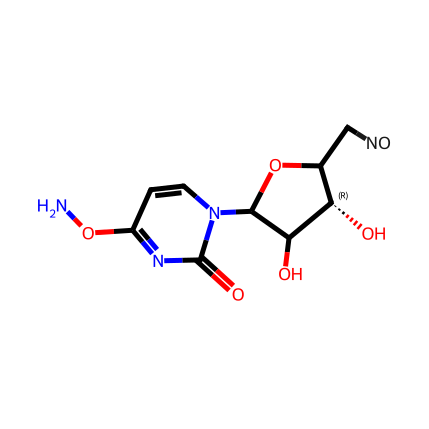 NOc1ccn(C2OC(CN=O)[C@H](O)C2O)c(=O)n1